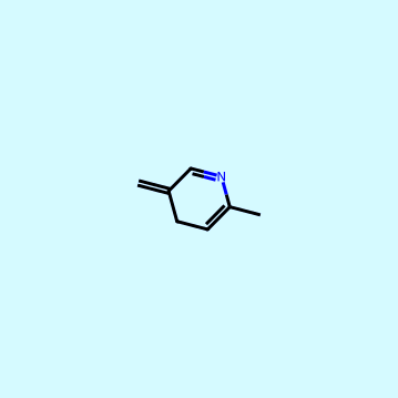 C=C1C=NC(C)=CC1